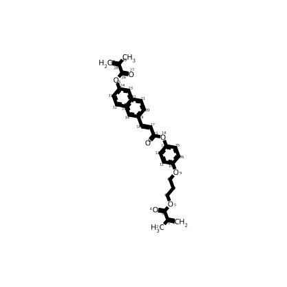 C=C(C)C(=O)OCCCOc1ccc(OC(=O)/C=C/c2ccc3cc(OC(=O)C(=C)C)ccc3c2)cc1